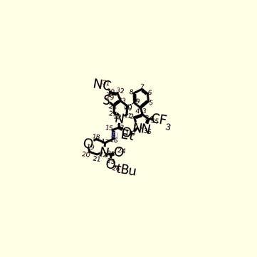 CCn1cc(-c2ccccc2[C@@H]2CN(C(=O)/C=C/C3COCCN3C(=O)OC(C)(C)C)Cc3sc(C#N)cc32)c(C(F)(F)F)n1